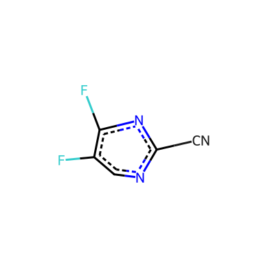 N#Cc1ncc(F)c(F)n1